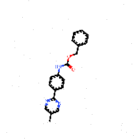 Cc1cnc(-c2ccc(NC(=O)OCc3ccccc3)cc2)nc1